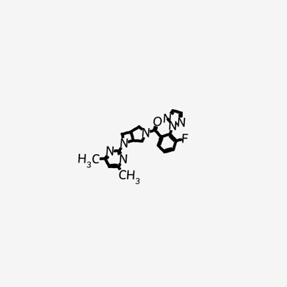 Cc1cc(C)nc(N2CC3CN(C(=O)c4cccc(F)c4-n4nccn4)CC32)n1